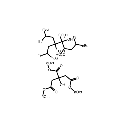 CCCCC(CC)CC(C(=O)O)C(O)(C(=O)O)C(CC(CC)CCCC)(CC(CC)CCCC)C(=O)O.CCCCCCCCOC(=O)CC(O)(CC(=O)OCCCCCCCC)C(=O)OCCCCCCCC